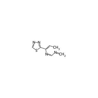 C=N/C=N\C(=C/C)c1nncs1